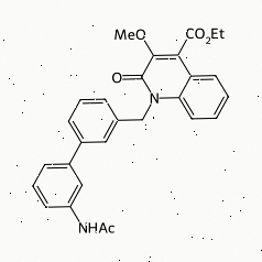 CCOC(=O)c1c(OC)c(=O)n(Cc2cccc(-c3cccc(NC(C)=O)c3)c2)c2ccccc12